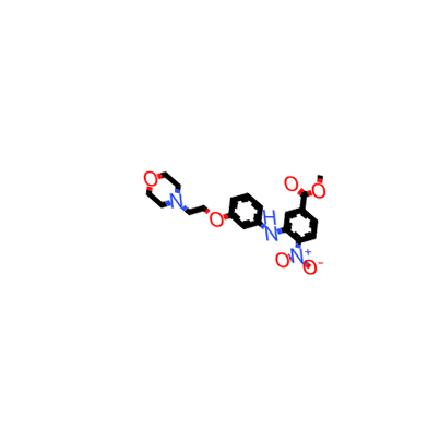 COC(=O)c1ccc([N+](=O)[O-])c(Nc2cccc(OCCN3CCOCC3)c2)c1